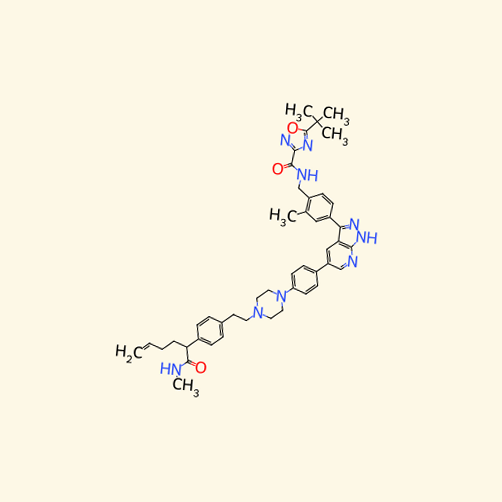 C=CCCC(C(=O)NC)c1ccc(CCN2CCN(c3ccc(-c4cnc5[nH]nc(-c6ccc(CNC(=O)c7noc(C(C)(C)C)n7)c(C)c6)c5c4)cc3)CC2)cc1